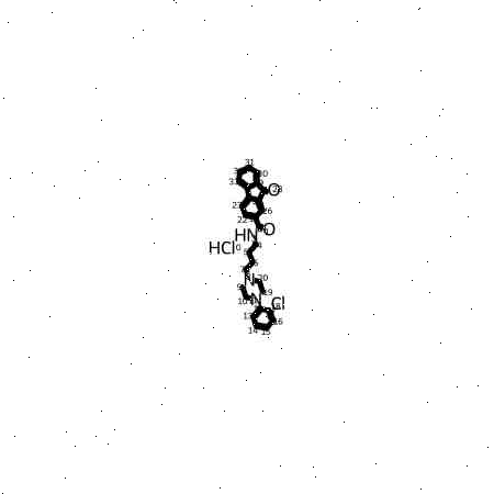 Cl.O=C(NCCCCN1CCN(c2ccccc2Cl)CC1)c1ccc2c(c1)C(=O)c1ccccc1-2